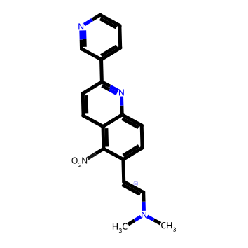 CN(C)/C=C/c1ccc2nc(-c3cccnc3)ccc2c1[N+](=O)[O-]